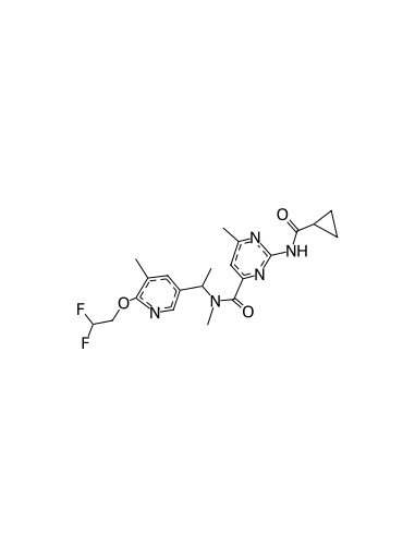 Cc1cc(C(=O)N(C)C(C)c2cnc(OCC(F)F)c(C)c2)nc(NC(=O)C2CC2)n1